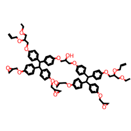 C=CCOC(COCC)COc1ccc(C(c2ccc(OCC(O)COc3ccc(C(c4ccc(OCC(COCC)OCC=C)cc4)C(c4ccc(OCC5CO5)cc4)c4ccc(OCC5CO5)cc4)cc3)cc2)C(c2ccc(OCC3CO3)cc2)c2ccc(OCC3CO3)cc2)cc1